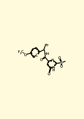 CC(C)C(NC(=O)c1cc(=O)[nH]c(S(C)(=O)=O)n1)c1ccc(OC(F)(F)F)cc1